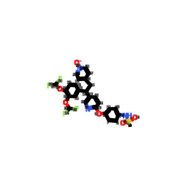 CS(=O)(=O)Nc1ccc(Oc2ccc(C(Cc3cc[n+]([O-])cc3)c3ccc(OC(F)F)c(OC(F)F)c3)cn2)cc1